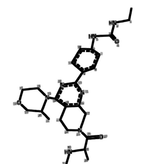 CCNC(=O)Nc1ccc(-c2nc3c(c(N4CCOCC4C)n2)CCN(C(=O)C(C)NC)C3)cc1